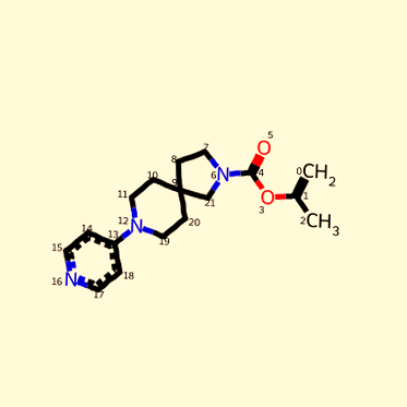 C=C(C)OC(=O)N1CCC2(CCN(c3ccncc3)CC2)C1